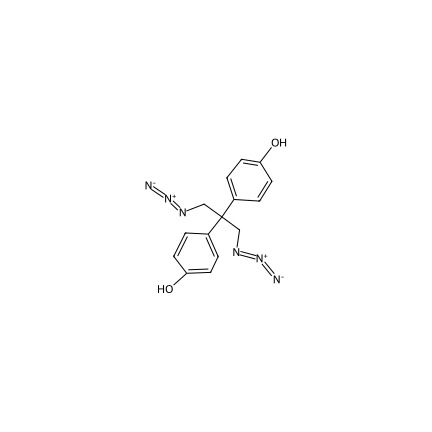 [N-]=[N+]=NCC(CN=[N+]=[N-])(c1ccc(O)cc1)c1ccc(O)cc1